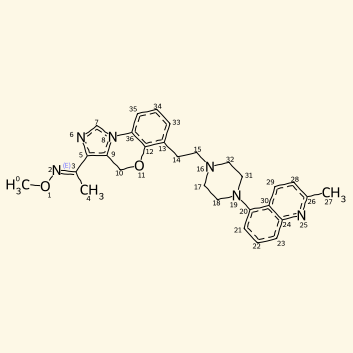 CO/N=C(\C)c1ncn2c1COc1c(CCN3CCN(c4cccc5nc(C)ccc45)CC3)cccc1-2